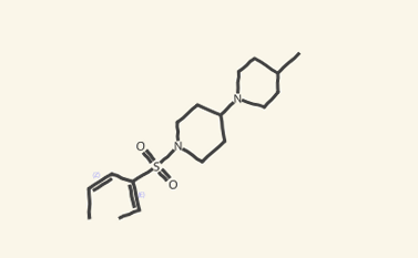 C/C=C\C(=C/C)S(=O)(=O)N1CCC(N2CCC(C)CC2)CC1